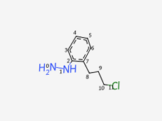 NNc1ccccc1CCCCl